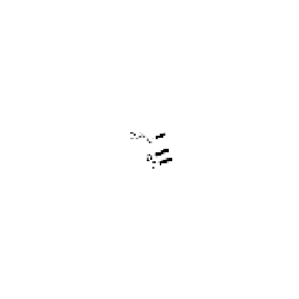 C[O-].C[O-].C[O-].[Eu+3]